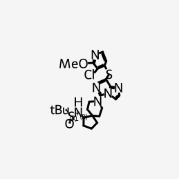 COc1nccc(Sc2cnc(N3CCC4(CCC[C@H]4N[S@@+]([O-])C(C)(C)C)CC3)n3ccnc23)c1Cl